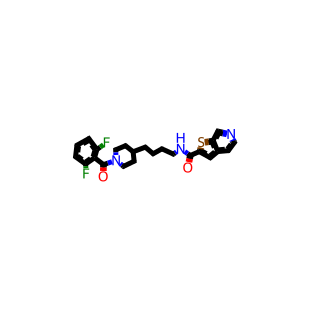 O=C(NCCCCC1CCN(C(=O)c2c(F)cccc2F)CC1)c1cc2ccncc2s1